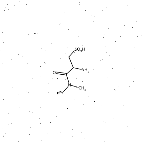 CCCN(C)C(=O)C(N)CS(=O)(=O)O